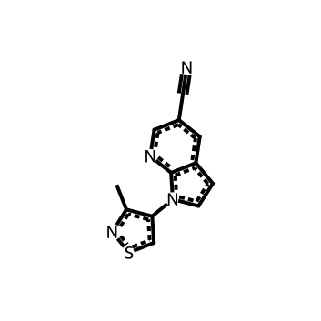 Cc1nscc1-n1ccc2cc(C#N)cnc21